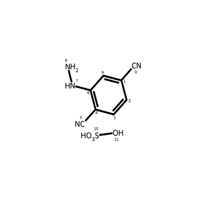 N#Cc1ccc(C#N)c(NN)c1.O=S(=O)(O)O